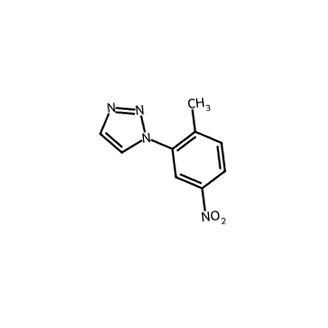 Cc1ccc([N+](=O)[O-])cc1-n1ccnn1